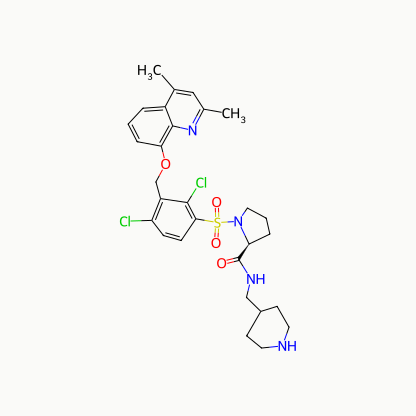 Cc1cc(C)c2cccc(OCc3c(Cl)ccc(S(=O)(=O)N4CCC[C@H]4C(=O)NCC4CCNCC4)c3Cl)c2n1